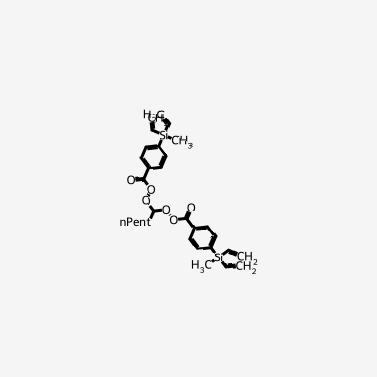 [CH2]CCCC[C](OOC(=O)c1ccc([Si](C)(C=C)C=C)cc1)OOC(=O)c1ccc([Si](C)(C=C)C=C)cc1